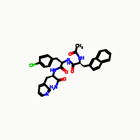 CC(=O)N[C@H](Cc1ccc2ccccc2c1)C(=O)N[C@H](Cc1ccc(Cl)cc1)C(=O)N[C@H](Cc1cccnc1)C(N)=O